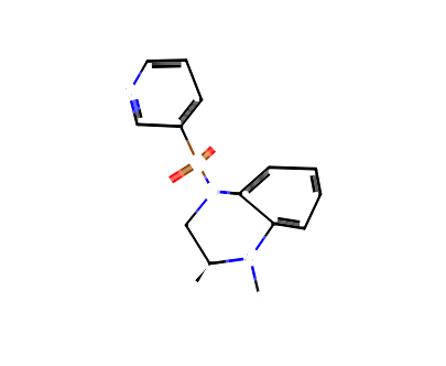 CC(=O)N1c2ccccc2N(S(=O)(=O)c2cccnc2)C[C@@H]1C